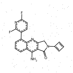 Nc1c2c(nc3c(-c4ccc(F)nc4F)cccc13)CN(C1=CC=C1)C2=O